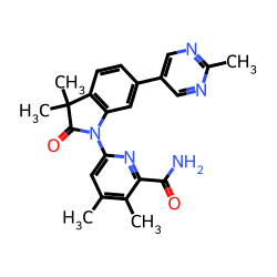 Cc1ncc(-c2ccc3c(c2)N(c2cc(C)c(C)c(C(N)=O)n2)C(=O)C3(C)C)cn1